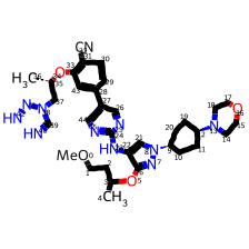 COCCC(C)Oc1nn([C@H]2CC[C@H](N3CCOCC3)CC2)cc1Nc1ncc(-c2ccc(C#N)c(O[C@@H](C)CN(C=N)N=N)c2)cn1